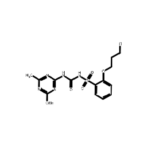 COc1nc(C)nc(NC(=O)NS(=O)(=O)c2ccccc2OCCCCl)n1